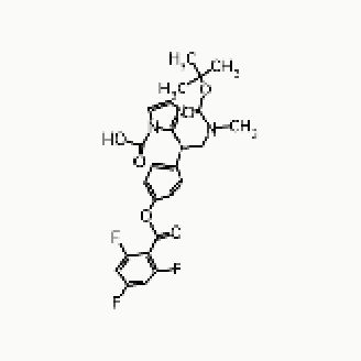 CN(CC(c1ccc(OC(=O)c2c(F)cc(F)cc2F)cc1)c1nccn1C(=O)O)C(=O)OC(C)(C)C